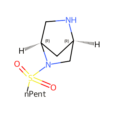 CCCCCS(=O)(=O)N1C[C@H]2C[C@@H]1CN2